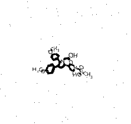 COc1ccc(C2=C(c3ccc(OC)cc3)N(CC(=O)O)C(C3CCN(C(=O)N(C)O)CC3)C2)cc1